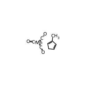 CC1=CCC=C1.O=[C]=[Mn](=[C]=O)=[C]=O